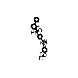 Cc1c(C(=O)Nc2ccc(-c3ncn(-c4ccc(OC(F)(F)F)cc4)n3)cc2)cccc1-c1ccccc1